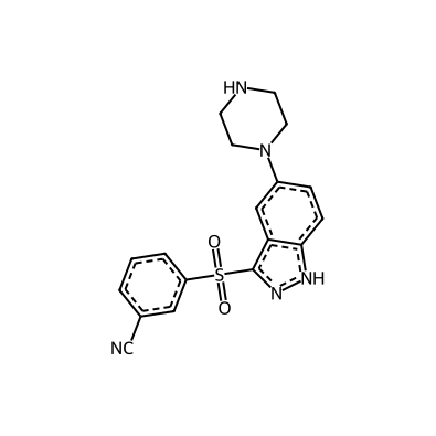 N#Cc1cccc(S(=O)(=O)c2n[nH]c3ccc(N4CCNCC4)cc23)c1